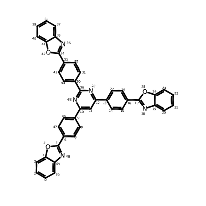 c1ccc2oc(-c3ccc(-c4cc(-c5ccc(-c6nc7ccccc7o6)cc5)nc(-c5ccc(-c6nc7ccccc7o6)cc5)n4)cc3)nc2c1